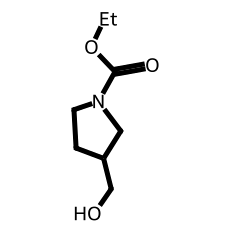 CCOC(=O)N1CCC(CO)C1